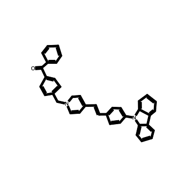 O=C(c1ccccc1)c1ccc(CN2C=CC(C=Cc3ccc(-n4c5ccccc5c5ccccc54)cc3)=CC2)cc1